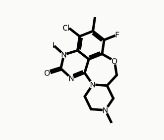 Cc1c(F)c2c3c(nc(=O)n(I)c3c1Cl)N1CCN(C)CC1CO2